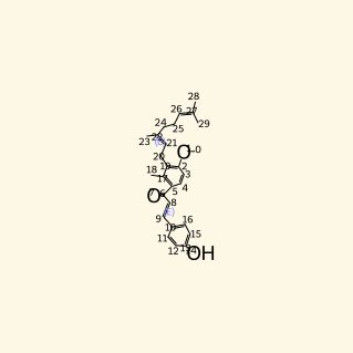 COc1ccc(C(=O)/C=C/c2ccc(O)cc2)c(C)c1C/C=C(\C)CCC=C(C)C